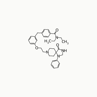 CCN(CC)C(=O)c1ccc(Cc2cccc(OCCN3CCC4(CC3)C(=O)NCN4c3ccccc3)c2)cc1